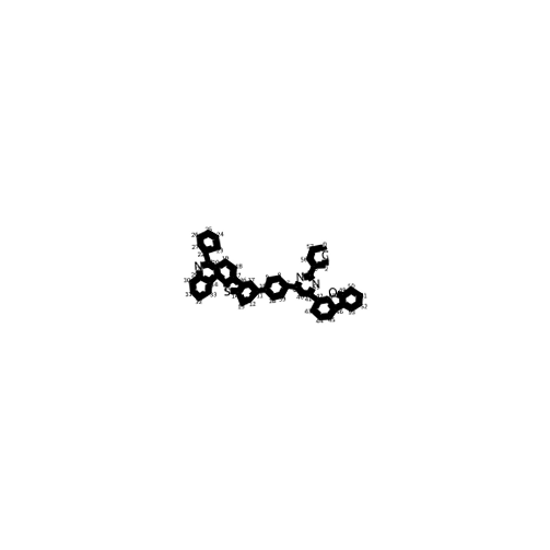 c1ccc(-c2nc(-c3ccc(-c4ccc5sc6c(ccc7c(-c8ccccc8)nc8ccccc8c76)c5c4)cc3)cc(-c3cccc4c3oc3ccccc34)n2)cc1